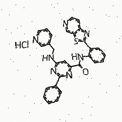 Cl.O=C(Nc1ccccc1-c1nc2ccncc2s1)c1cc(NCc2cccnc2)nc(-c2ccccc2)n1